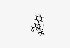 CC(C)(C)OC(=O)N[C@@H](CCC=O)C1CCCCC1